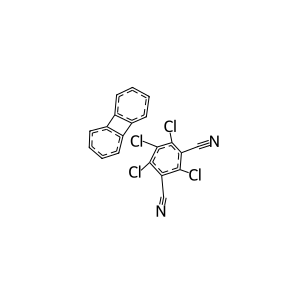 N#Cc1c(Cl)c(Cl)c(Cl)c(C#N)c1Cl.c1ccc2c(c1)-c1ccccc1-2